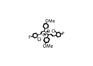 COc1ccc(C(C=Cc2ccc(F)cc2Cl)S(=O)(=O)C(C=Cc2ccc(F)cc2Cl)c2ccc(OC)cc2)cc1